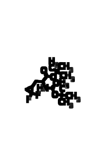 CC(C)(C)OC(=O)NC(CC1CC1(F)F)C(=O)OC(C)(C)C